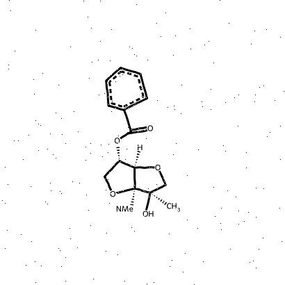 CN[C@]12OC[C@H](OC(=O)c3ccccc3)[C@H]1OC[C@@]2(C)O